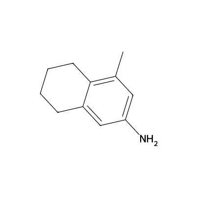 Cc1cc(N)cc2c1CCCC2